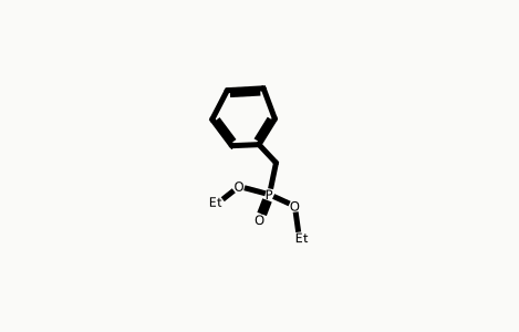 CCOP(=O)(Cc1[c]cccc1)OCC